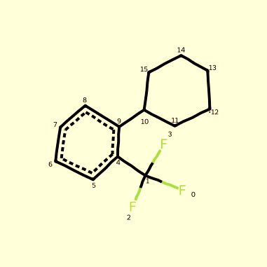 FC(F)(F)c1ccccc1C1C[CH]CCC1